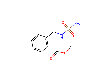 COC=O.NS(=O)(=O)NCc1ccccc1